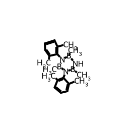 CB1NB(C)N(c2c(C)cccc2C)B(C)N1c1c(C)cccc1C